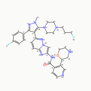 Cn1nc(-c2ccc(F)cc2)c(-c2ccc3nc(NC(=O)c4ccncc4C4CNCCO4)cn3n2)c1N1CCN(CCCF)CC1